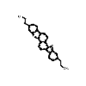 CCCc1ccc2c(c1)sc1c2ccc2c1ccc1c3ccc(CCC)cc3sc12